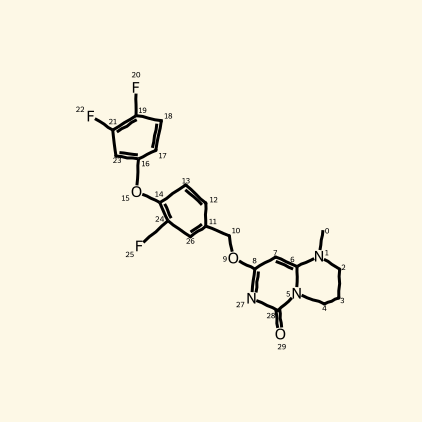 CN1CCCn2c1cc(OCc1ccc(Oc3ccc(F)c(F)c3)c(F)c1)nc2=O